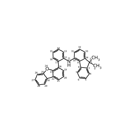 CC1(C)c2ccccc2-c2c(Nc3ccccc3-c3cccc4c3oc3ccccc34)cccc21